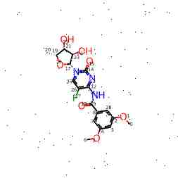 COc1cc(OC)cc(C(=O)Nc2nc(=O)n([C@@H]3O[C@H](C)[C@@H](O)[C@H]3O)cc2F)c1